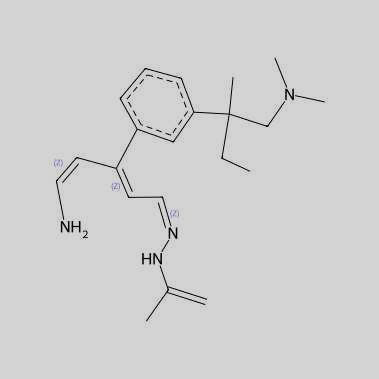 C=C(C)N\N=C/C=C(/C=C\N)c1cccc(C(C)(CC)CN(C)C)c1